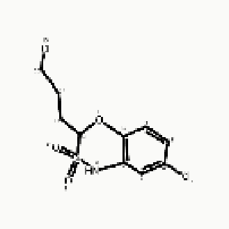 O=S1(=O)Nc2cc(Cl)ccc2OC1CCCCl